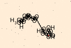 Cc1cn([C@H]2C[C@@H](O)[C@@H](COP(=O)(O)OCCSC3CC(=O)N(CCCCCCCCCCC(=O)NNC(=O)c4ccc(C(=O)O)c(-c5c6ccc(=O)cc-6oc6cc(O)ccc56)c4)C3=O)O2)c(=O)[nH]c1=O